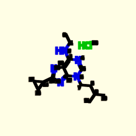 CCNc1ncn(CCC(C)C)c2nc(C3CC3)nc1-2.Cl